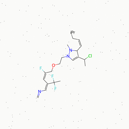 C=N/C=C(\C=C(\F)COCCN1C=C(C(C)Cl)C(/C=C\CC(C)C)N1C)C(C)(F)F